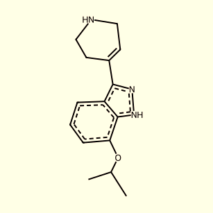 CC(C)Oc1cccc2c(C3=CCNCC3)n[nH]c12